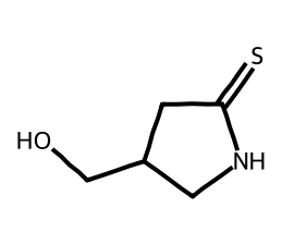 OCC1CNC(=S)C1